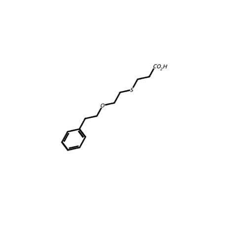 O=C(O)CCSCCOCCc1ccccc1